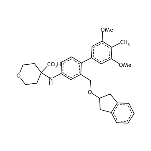 COc1cc(-c2ccc(NC3(C(=O)O)CCOCC3)cc2COC2Cc3ccccc3C2)cc(OC)c1C